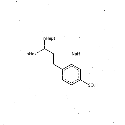 CCCCCCCC(CCCCCC)CCc1ccc(S(=O)(=O)O)cc1.[NaH]